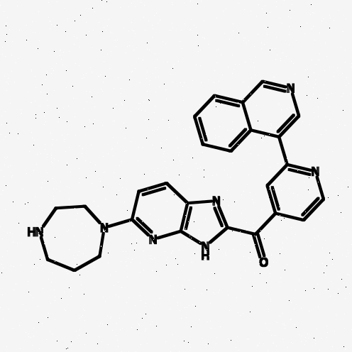 O=C(c1ccnc(-c2cncc3ccccc23)c1)c1nc2ccc(N3CCCNCC3)nc2[nH]1